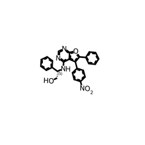 O=[N+]([O-])c1ccc(-c2c(-c3ccccc3)oc3ncnc(N[C@H](CO)c4ccccc4)c23)cc1